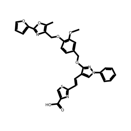 COc1cc(COc2nn(-c3ccccc3)cc2C=Cc2nc(C(=O)O)cs2)ccc1OCc1nc(-c2ccco2)oc1C